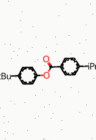 CC(C)c1ccc(C(=O)Oc2ccc(C(C)(C)C)cc2)cc1